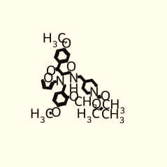 COc1ccc(C(=O)C(C(=O)NCC2CCN(C(=O)OC(C)(C)C)CC2)N(Cc2ccc(OC)cc2OC)c2ccco2)cc1